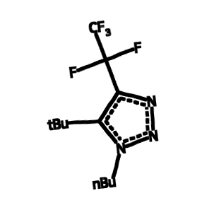 CCCCn1nnc(C(F)(F)C(F)(F)F)c1C(C)(C)C